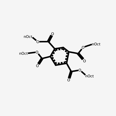 CCCCCCCCOC(=O)c1cc(C(=O)OCCCCCCCC)c(C(=O)OCCCCCCCC)cc1C(=O)OCCCCCCCC